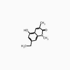 CCc1cc(O)c2cc(C)c(=O)n(C)c2c1